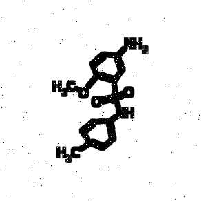 COc1ccc(N)cc1S(=O)(=O)Nc1ccc(C)cc1